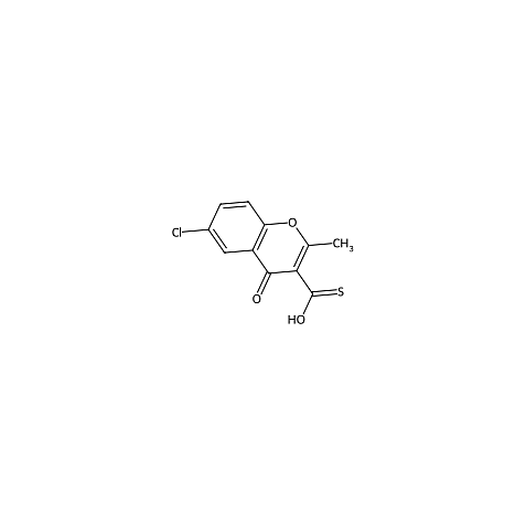 Cc1oc2ccc(Cl)cc2c(=O)c1C(O)=S